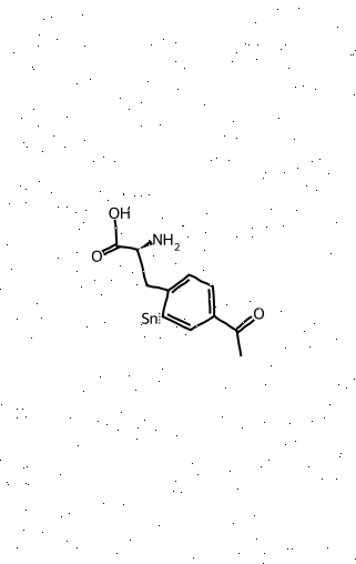 CC(=O)c1ccc(C[C@H](N)C(=O)O)cc1.[Sn]